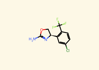 NC1=N[C@H](c2cc(Cl)ccc2C(F)(F)F)CO1